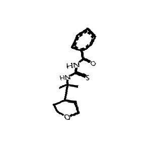 CC(C)(NC(=S)NC(=O)c1ccccc1)C1CCOCC1